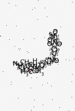 Cc1cc(O[C@H]2C(C)(C)[C@H](NC(=O)c3ccc(N4CCN(C(=O)C5Cc6cc7c(cc6C5)C(=O)N(C5CCC(=O)N(I)C5=O)C7=O)CC4)cc3)C2(C)C)ccc1C#N